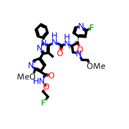 COCCN1C[C@@H](NC(=O)Nc2c(C)c(-c3cnc(OC)c(C(=O)NOCCF)c3)nn2-c2ccccc2)[C@H](c2ccnc(F)c2)O1